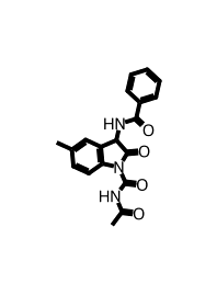 CC(=O)NC(=O)N1C(=O)C(NC(=O)c2ccccc2)c2cc(C)ccc21